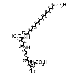 CCOC(CNC(=O)COCCNC(=O)CCC(NC(=O)CCCCCCCCCCCCCCCCC(=O)O)C(=O)O)OCC(=O)O